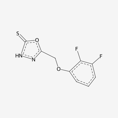 Fc1cccc(OCc2n[nH]c(=S)o2)c1F